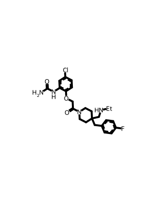 CCNCC1(Cc2ccc(F)cc2)CCN(C(=O)COc2ccc(Cl)cc2NC(N)=O)CC1